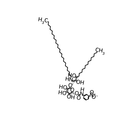 CCCCCCCCCCCCCCCCCCCCCCCCCCN[C@@H](CO[C@H]1O[C@H](COC(=O)Nc2cccc([N+](=O)[O-])c2)[C@H](O)[C@H](O)[C@H]1O)[C@H](O)[C@H](O)CCCCCCCCCCCCCC